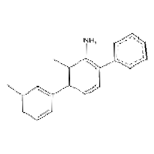 CC1C=C(C2C=CC(c3ccccc3)=C(N)C2C)C=CC1